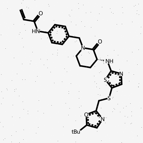 C=CC(=O)Nc1ccc(CN2CCC[C@@H](Nc3ncc(SCc4ncc(C(C)(C)C)o4)s3)C2=O)cc1